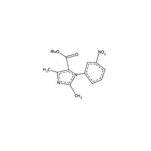 Cc1nc(C)n(-c2cccc([N+](=O)[O-])c2)c1C(=O)OCC(C)C